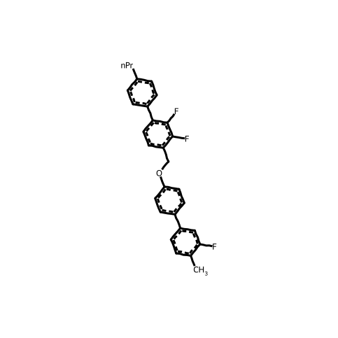 CCCc1ccc(-c2ccc(COc3ccc(-c4ccc(C)c(F)c4)cc3)c(F)c2F)cc1